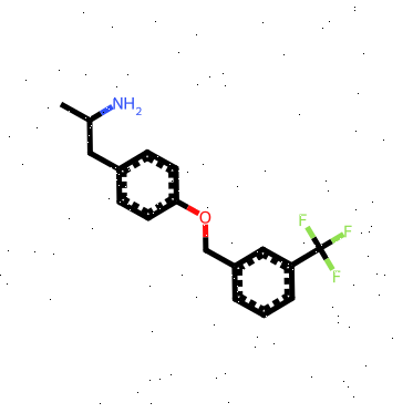 CC(N)Cc1ccc(OCc2cccc(C(F)(F)F)c2)cc1